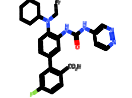 CC(C)CN(c1ccc(-c2cc(F)ccc2C(=O)O)cc1NC(=O)Nc1ccnnc1)C1CCCCC1